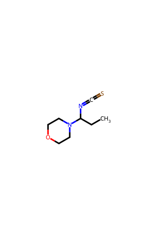 CCC(N=C=S)N1CCOCC1